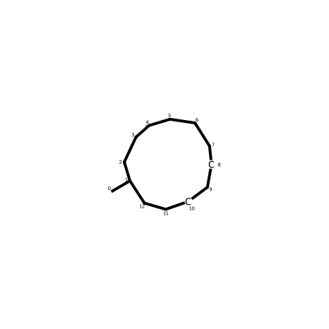 CC1CC[CH]CCCCCCCC1